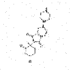 O=C1CCC(F)(N2C(=O)c3ccc(N4CCNCC4)cc3C2=O)C(=O)N1